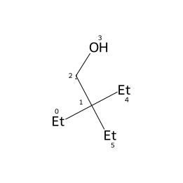 [CH2]CC([CH]O)(CC)CC